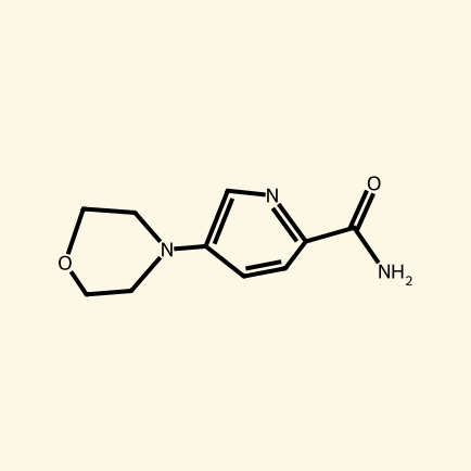 NC(=O)c1ccc(N2CCOCC2)cn1